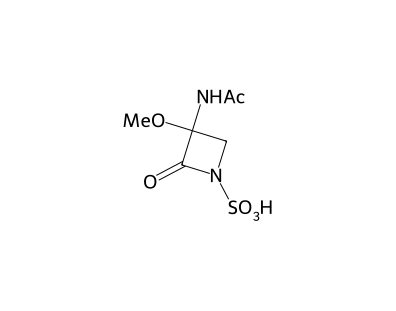 COC1(NC(C)=O)CN(S(=O)(=O)O)C1=O